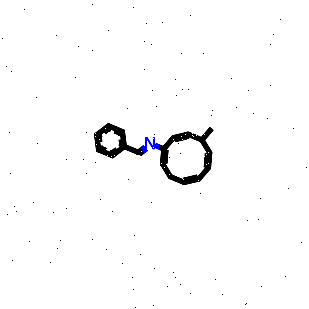 CC1/C=C\C=C/C/C=C(/N=C/c2ccccc2)\C=C/1